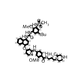 COc1cc(Nc2cc(Oc3ccc(NC(=O)Nc4cc(C(C)(C)C)cc(NS(C)(=O)=O)c4OC)c4ccccc34)ccn2)ccc1C(=O)NCCCN1CCNCC1C